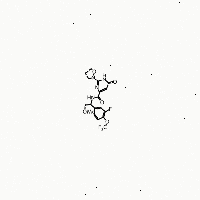 COCC(NC(=O)c1cc(=O)[nH]c(N2CCCO2)n1)c1ccc(OC(F)(F)F)c(F)c1